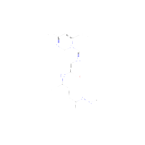 CCNNC(C)CCC(C)NC(O)C/N=C\N1CN=C(C)C=C1C